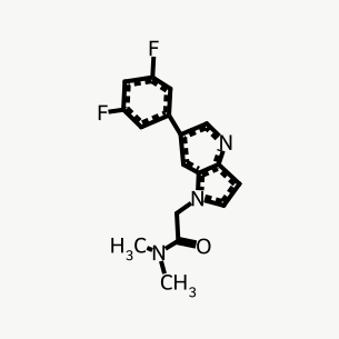 CN(C)C(=O)Cn1ccc2ncc(-c3cc(F)cc(F)c3)cc21